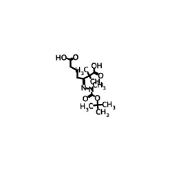 CN(N=C(CCCC(=O)O)C(C)(C)C(=O)O)C(=O)OC(C)(C)C